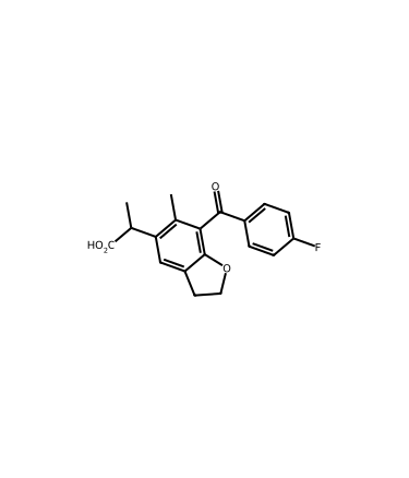 Cc1c(C(C)C(=O)O)cc2c(c1C(=O)c1ccc(F)cc1)OCC2